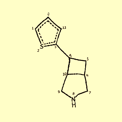 c1csc(C2CC3CNCC32)c1